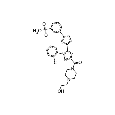 CS(=O)(=O)c1cccc(-c2ccc(-c3cc(C(=O)N4CCN(CCO)CC4)nn3-c3ccccc3Cl)s2)c1